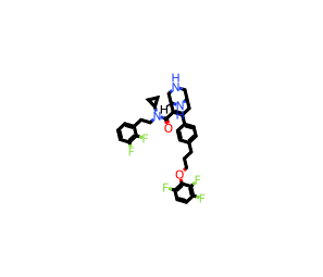 O=C(C1=C(c2ccc(CCCOc3c(F)ccc(F)c3F)cc2)CC2CNC[C@H]1N2)N(CCc1cccc(F)c1F)C1CC1